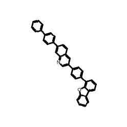 c1ccc(-c2ccc(-c3ccc4cc(-c5ccc(-c6cccc7c6oc6ccccc67)cc5)cnc4c3)cc2)cc1